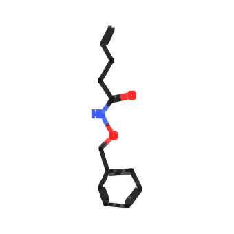 C=CCCC(=O)NOCc1ccccc1